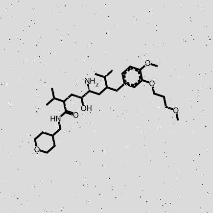 COCCCOc1cc(CC(C[C@H](N)C(O)CC(C(=O)NCC2CCOCC2)C(C)C)C(C)C)ccc1OC